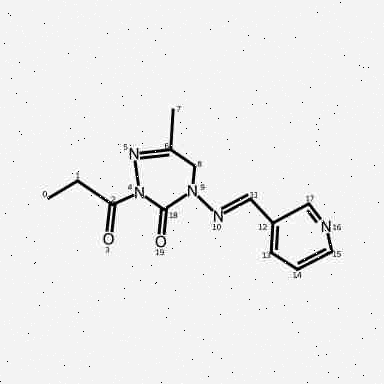 CCC(=O)N1N=C(C)CN(N=Cc2cccnc2)C1=O